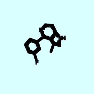 Cc1n[nH]c2ccnc(-c3cccc(F)c3)c12